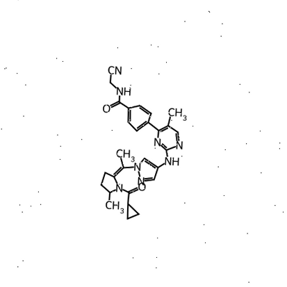 C/C(=C1\CCC(C)N1C(=O)C1CC1)n1cc(Nc2ncc(C)c(-c3ccc(C(=O)NCC#N)cc3)n2)cn1